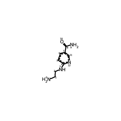 NCCNc1ccc(C(N)=O)cn1